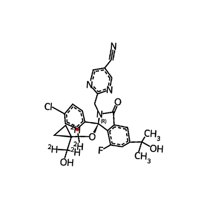 [2H]C([2H])(O)C1(C([2H])([2H])O[C@]2(c3ccc(Cl)cc3)c3c(F)cc(C(C)(C)O)cc3C(=O)N2Cc2ncc(C#N)cn2)CC1